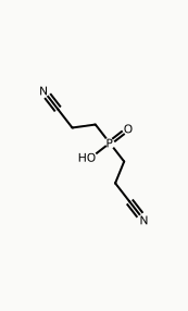 N#CCCP(=O)(O)CCC#N